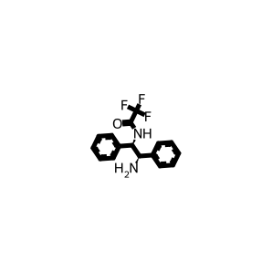 N[C@@H](c1ccccc1)[C@@H](NC(=O)C(F)(F)F)c1ccccc1